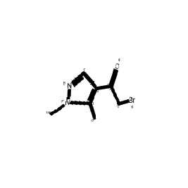 Cc1c(C(=O)CBr)cnn1C